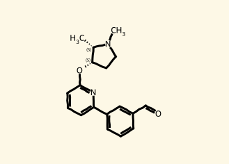 C[C@H]1[C@@H](Oc2cccc(-c3cccc(C=O)c3)n2)CCN1C